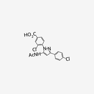 CC(=O)Nc1cc(-c2ccc(Cl)cc2)nn1-c1ccc(C(=O)O)cc1Cl